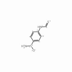 N[S+]([O-])c1ccc(NC=S)cc1